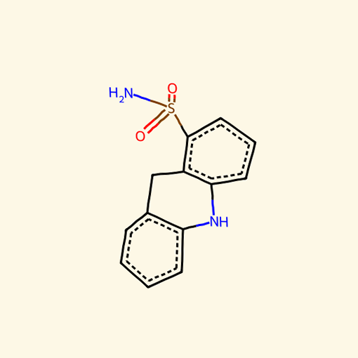 NS(=O)(=O)c1cccc2c1Cc1ccccc1N2